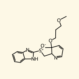 COCCCOC1(C)C=CC=NC1C[S+]([O-])c1nc2ccccc2[nH]1